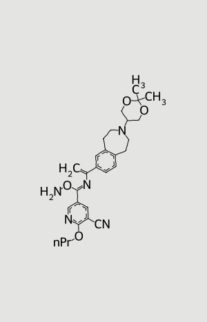 C=C(/N=C(\ON)c1cnc(OCCC)c(C#N)c1)c1ccc2c(c1)CCN(C1COC(C)(C)OC1)CC2